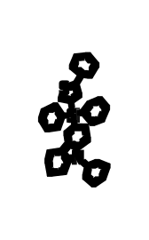 c1ccc(-c2cc([Si](c3ccccc3)(c3ccccc3)c3ccc4c(c3)c3ccccc3n4-c3ccccc3)cs2)cc1